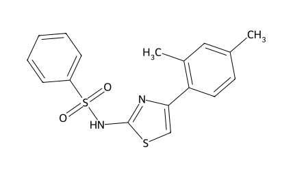 Cc1ccc(-c2csc(NS(=O)(=O)c3ccccc3)n2)c(C)c1